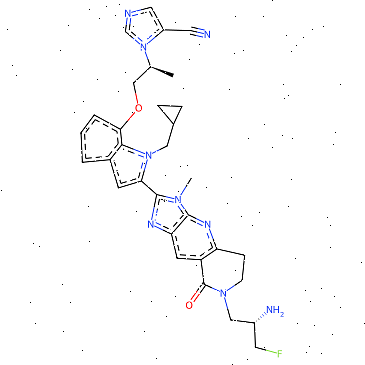 C[C@@H](COc1cccc2cc(-c3nc4cc5c(nc4n3C)CCN(C[C@H](N)CF)C5=O)n(CC3CC3)c12)n1cncc1C#N